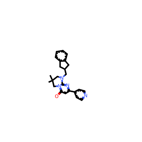 CC1(C)CN(CC2Cc3ccccc3C2)c2nc(-c3ccncc3)cc(=O)n2C1